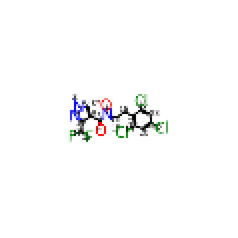 CON(C(=O)c1cn(C)nc1C(F)F)[C@@H](C)Cc1c(Cl)cc(Cl)cc1Cl